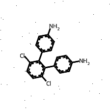 Nc1ccc(-c2c(Cl)[c]cc(Cl)c2-c2ccc(N)cc2)cc1